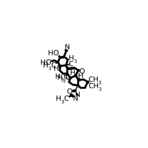 Cc1nnc([C@]23CCC(C)(C)C[C@H]2[C@H]2C(=O)C=C4[C@@]5(C)CC(C#N)=C(O)[C@@](C)(CO)[C@@H]5CC[C@@]4(C)[C@]2(C)CC3)o1